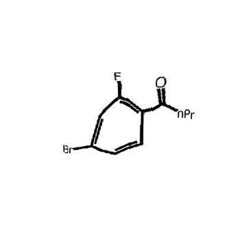 CCCC(=O)c1ccc(Br)cc1F